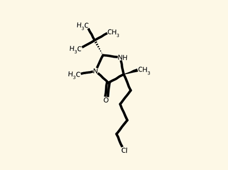 CN1C(=O)[C@@](C)(CCCCCl)N[C@H]1C(C)(C)C